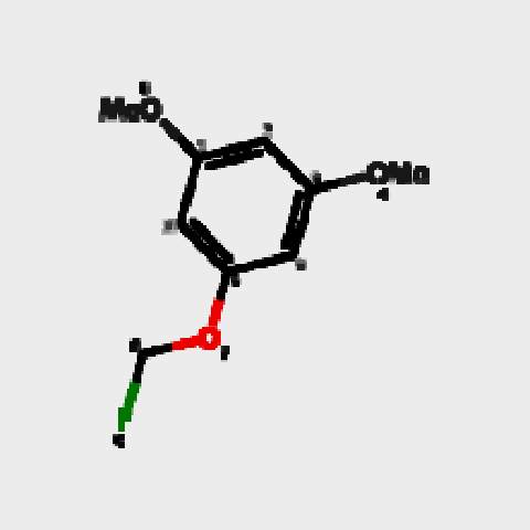 COc1cc(OC)cc(OCF)c1